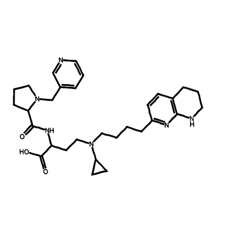 O=C(O)C(CCN(CCCCc1ccc2c(n1)NCCC2)C1CC1)NC(=O)C1CCCN1Cc1cccnc1